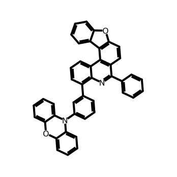 c1ccc(-c2nc3c(-c4cccc(N5c6ccccc6Oc6ccccc65)c4)cccc3c3c2ccc2oc4ccccc4c23)cc1